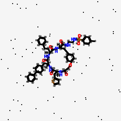 Cc1ccc(S(=O)(=O)NCCNC(=O)[C@@H]2Cc3ccc(cc3)OCC(=O)N[C@@H](Cc3cccs3)C(=O)N[C@H](Cc3ccc(-c4ccccc4)cc3)C(=O)N[C@@H](CCc3ccccc3)C(=O)N2)cc1